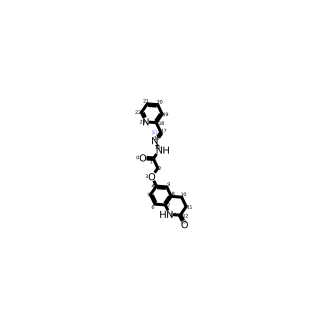 O=C(COc1ccc2c(c1)CCC(=O)N2)N/N=C/c1ccccn1